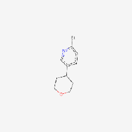 CCc1ccc(C2CCOCC2)cn1